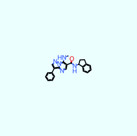 CNc1c(C(=O)NC2CCc3ccccc32)cnc2c(-c3ccccc3)cnn12